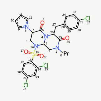 CC(C)N1CC2N(C(=O)C(n3cccc3)CN2S(=O)(=O)c2ccc(Cl)cc2Cl)C(Cc2ccc(Cl)cc2)C1=O